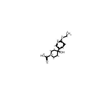 CCOc1ccc(C2(O)CCN(C(=O)O)CC2)cn1